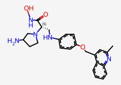 Cc1cc(COc2ccc(NC[C@@H](C(=O)NO)N3CCC(N)C3)cc2)c2ccccc2n1